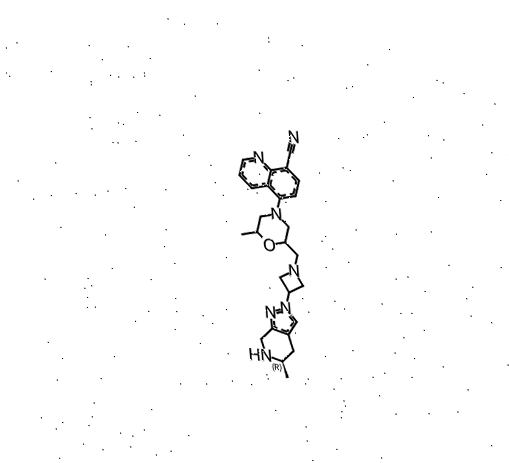 CC1CN(c2ccc(C#N)c3ncccc23)CC(CN2CC(n3cc4c(n3)CN[C@H](C)C4)C2)O1